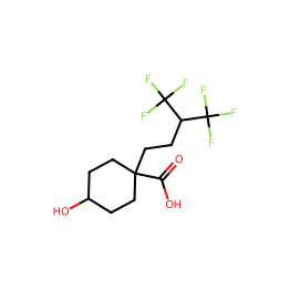 O=C(O)C1(CCC(C(F)(F)F)C(F)(F)F)CCC(O)CC1